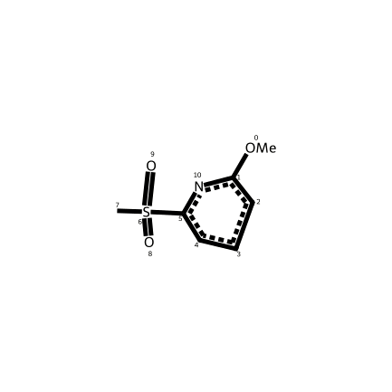 COc1cccc(S(C)(=O)=O)n1